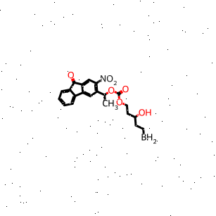 BCCC(O)CCOC(=O)OC(C)c1cc2c(cc1[N+](=O)[O-])C(=O)c1ccccc1-2